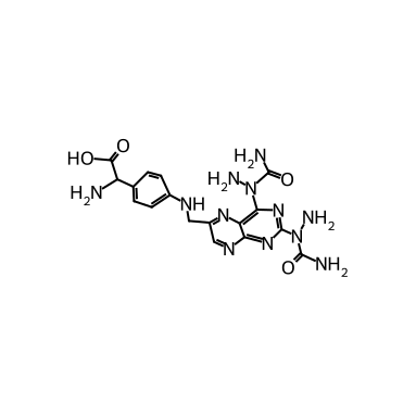 NC(=O)N(N)c1nc(N(N)C(N)=O)c2nc(CNc3ccc(C(N)C(=O)O)cc3)cnc2n1